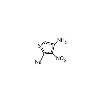 Nc1cs[c]([Na])c1[N+](=O)[O-]